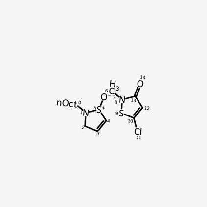 CCCCCCCCN1CC=C[S+]1[O-].Cn1sc(Cl)cc1=O